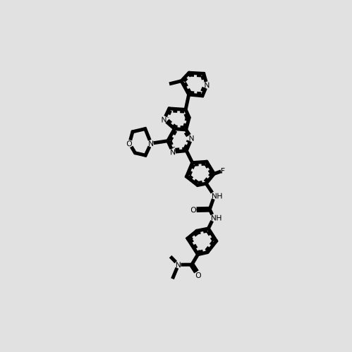 Cc1ccncc1-c1cnc2c(N3CCOCC3)nc(-c3ccc(NC(=O)Nc4ccc(C(=O)N(C)C)cc4)c(F)c3)nc2c1